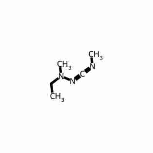 CCN(C)N=C=NC